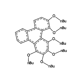 CCCCOc1ccc2c3ccccc3c3c(OCCCC)c(OCCCC)c(OCCCC)c(OCCCC)c3c2c1OCCCC